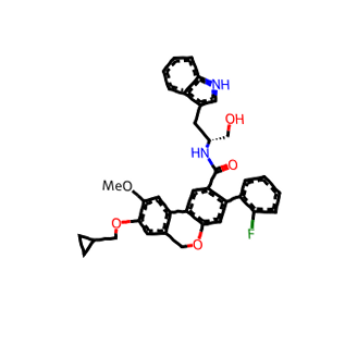 COc1cc2c(cc1OCC1CC1)COc1cc(-c3ccccc3F)c(C(=O)N[C@@H](CO)Cc3c[nH]c4ccccc34)cc1-2